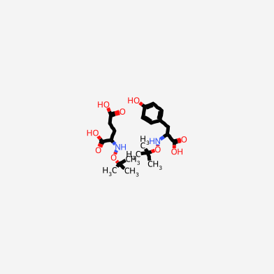 CC(C)(C)ONC(CCC(=O)O)C(=O)O.CC(C)(C)ONC(Cc1ccc(O)cc1)C(=O)O